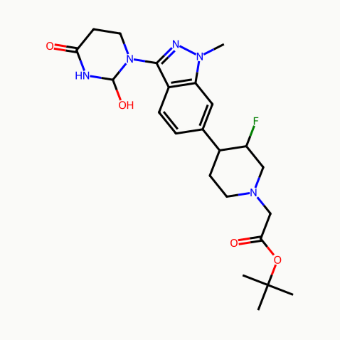 Cn1nc(N2CCC(=O)NC2O)c2ccc(C3CCN(CC(=O)OC(C)(C)C)CC3F)cc21